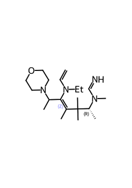 C=CN(CC)/C(=C(/C)C(C)(C)[C@@H](C)N(C)C=N)C(C)N1CCOCC1